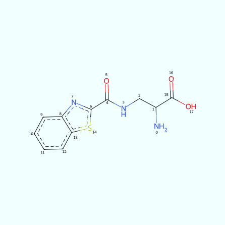 NC(CNC(=O)c1nc2ccccc2s1)C(=O)O